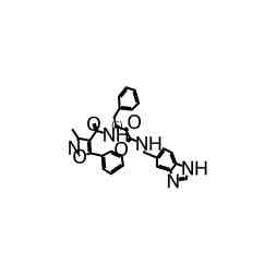 Cc1noc(-c2ccccc2)c1C(=O)N[C@@H](Cc1ccccc1)C(=O)C(=O)NCc1ccc2[nH]cnc2c1